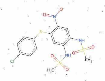 CS(=O)(=O)Nc1cc(Sc2ccc(Cl)cc2)c([N+](=O)[O-])cc1NS(C)(=O)=O